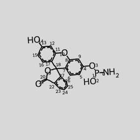 NP(O)Oc1ccc2c(c1)Oc1cc(O)ccc1C21OC(=O)c2ccccc21